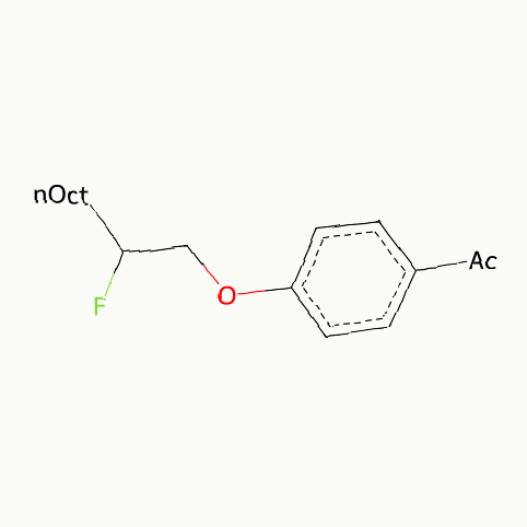 CCCCCCCCC(F)COc1ccc(C(C)=O)cc1